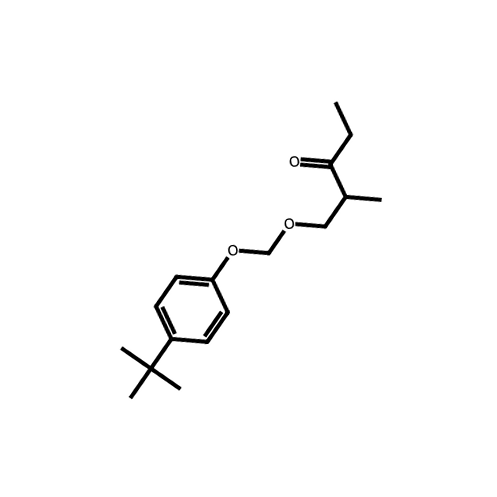 CCC(=O)C(C)COCOc1ccc(C(C)(C)C)cc1